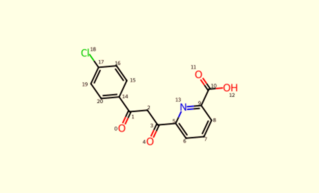 O=C(CC(=O)c1cccc(C(=O)O)n1)c1ccc(Cl)cc1